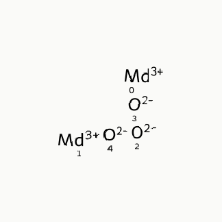 [Md+3].[Md+3].[O-2].[O-2].[O-2]